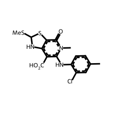 CSC1Nc2c(C(=O)O)c(Nc3ccc(C)cc3Cl)n(C)c(=O)c2S1